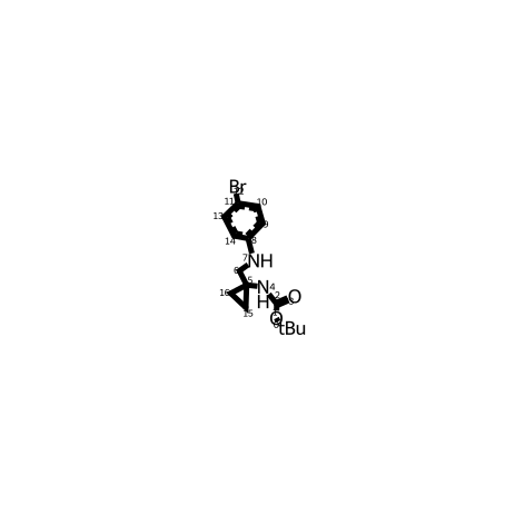 CC(C)(C)OC(=O)NC1(CNc2ccc(Br)cc2)CC1